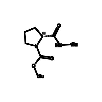 CC(C)(C)NC(=O)[C@H]1CCCN1C(=O)OC(C)(C)C